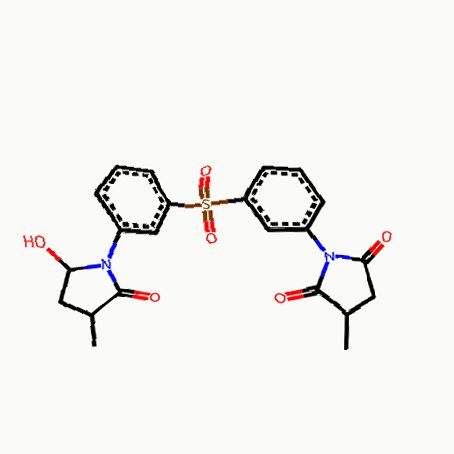 CC1CC(=O)N(c2cccc(S(=O)(=O)c3cccc(N4C(=O)C(C)CC4O)c3)c2)C1=O